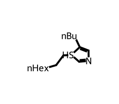 CCCCCCCC[SH]1C=NC=C1CCCC